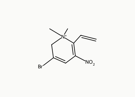 C=CC1=C([N+](=O)[O-])C=C(Br)C[N+]1(C)C